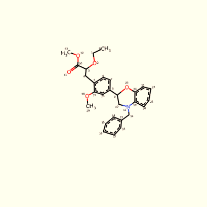 CCOC(Cc1ccc(C2CN(Cc3ccccc3)c3ccccc3O2)cc1OC)C(=O)OC